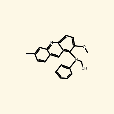 COc1ccc2nc3cc(C)ccc3cc2c1N(CO)c1ccccc1